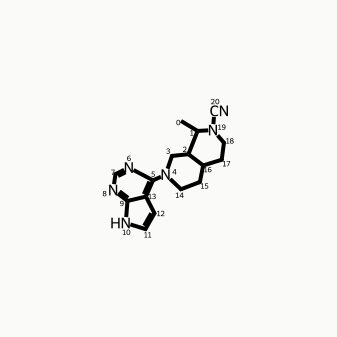 CC1C2CN(c3ncnc4[nH]ccc34)CCC2CCN1C#N